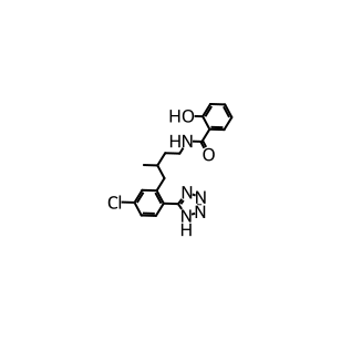 CC(CCNC(=O)c1ccccc1O)Cc1cc(Cl)ccc1-c1nnn[nH]1